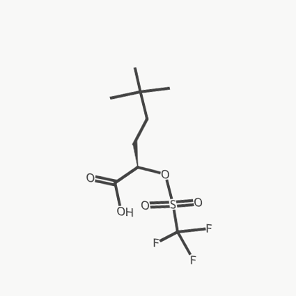 CC(C)(C)CC[C@@H](OS(=O)(=O)C(F)(F)F)C(=O)O